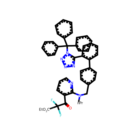 CCCN(Cc1ccc(-c2ccccc2-c2nnnn2C(c2ccccc2)(c2ccccc2)c2ccccc2)cc1)c1ncccc1C(=O)C(F)(F)C(=O)OCC